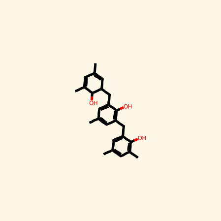 CC1=CC(Cc2cc(C)cc(Cc3cc(C)cc(C)c3O)c2O)C(O)C(C)=C1